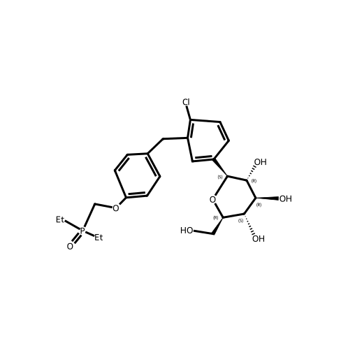 CCP(=O)(CC)COc1ccc(Cc2cc([C@@H]3O[C@H](CO)[C@@H](O)[C@H](O)[C@H]3O)ccc2Cl)cc1